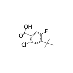 CC(C)(C)c1cc(Cl)c(C(=O)O)cc1F